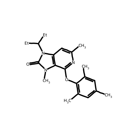 CCC(CC)n1c(=O)n(C)c2c(Oc3c(C)cc(C)cc3C)nc(C)cc21